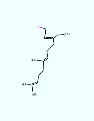 CC(=O)OC/C(=C\CI)CC/C=C(\C)CCC=C(C)C